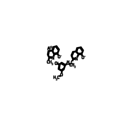 COc1cc([O-])cc(OC)c1.Cc1ccc2cccc([O-])c2n1.Cc1ccc2cccc([O-])c2n1.[Al+3]